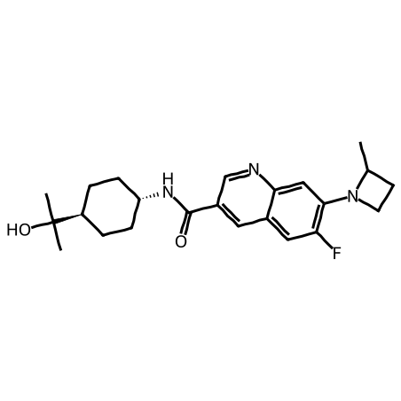 CC1CCN1c1cc2ncc(C(=O)N[C@H]3CC[C@H](C(C)(C)O)CC3)cc2cc1F